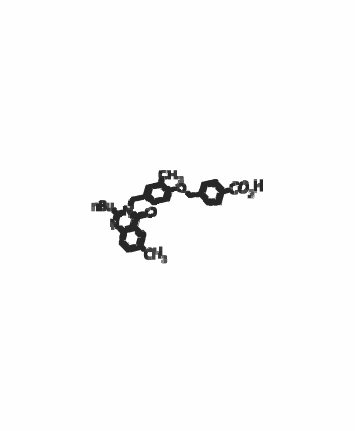 CCCCc1nc2ccc(C)cc2c(=O)n1Cc1ccc(OCc2ccc(C(=O)O)cc2)c(C)c1